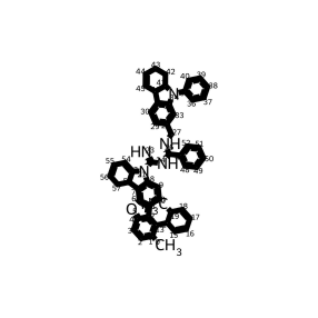 Cc1ccc2oc3c4c(ccc3c2c1C1C=CC=CC1C)N(C(=N)NC(NCc1ccc2c(c1)N(c1ccccc1)C1CCC=CC21)c1ccccc1)C1=CC=CCC14